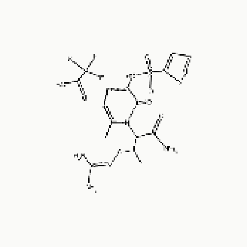 Cc1ccc(NS(=O)(=O)c2cccs2)c(=O)n1C(C(N)=O)C(C)ON=C(N)N.O=C(O)C(F)(F)F